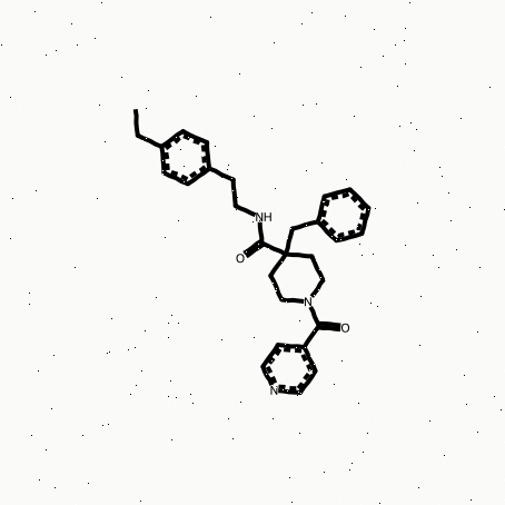 CCc1ccc(CCNC(=O)C2(Cc3ccccc3)CCN(C(=O)c3ccncc3)CC2)cc1